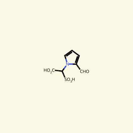 O=Cc1cccn1C(C(=O)O)S(=O)(=O)O